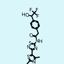 Cc1nc(C)c(-c2nsc(NC(=O)Cc3ccc(C(O)C(F)(F)F)cc3)n2)s1